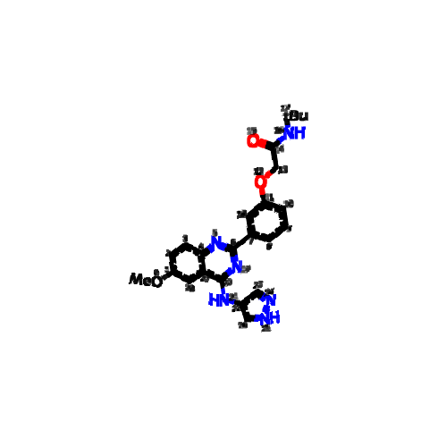 COc1ccc2nc(-c3cccc(OCC(=O)NC(C)(C)C)c3)nc(Nc3cn[nH]c3)c2c1